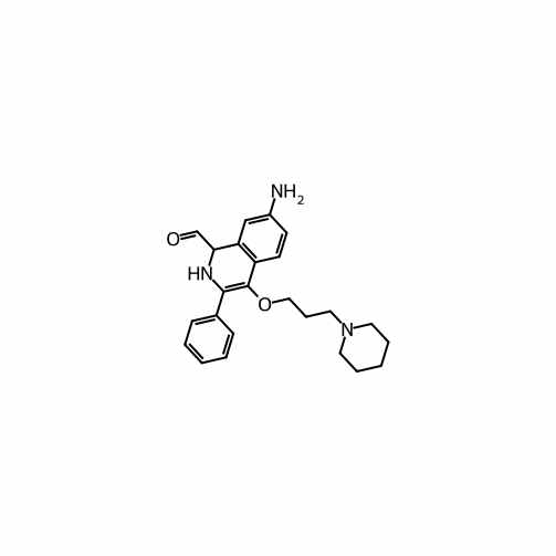 Nc1ccc2c(c1)C(C=O)NC(c1ccccc1)=C2OCCCN1CCCCC1